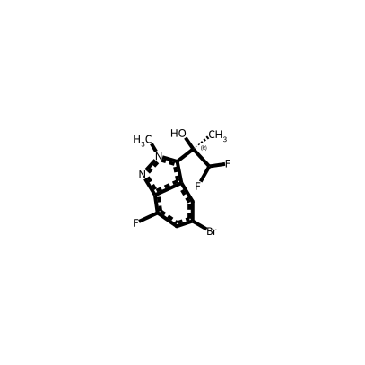 Cn1nc2c(F)cc(Br)cc2c1[C@@](C)(O)C(F)F